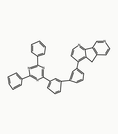 c1ccc(-c2nc(-c3ccccc3)nc(-c3cccc(-c4cccc(-c5ccnc6c5Cc5ccncc5-6)c4)c3)n2)cc1